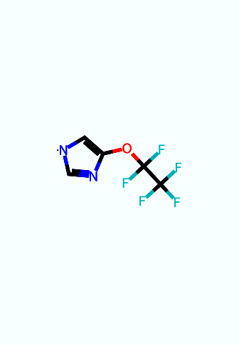 FC(F)(F)C(F)(F)OC1=C[N]C=N1